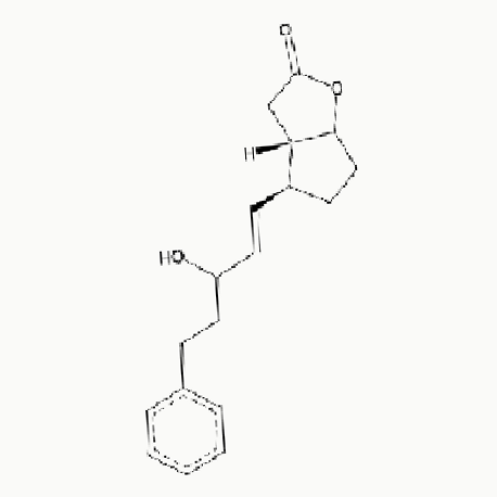 O=C1C[C@@H]2C(CC[C@H]2/C=C/C(O)CCc2ccccc2)O1